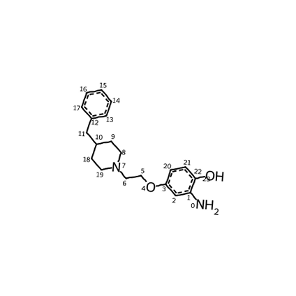 Nc1cc(OCCN2CCC(Cc3ccccc3)CC2)ccc1O